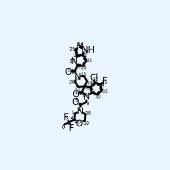 CC(F)(F)C1CN(C(=O)CN2C(=O)C3(CCN(C(=O)c4ccc5[nH]ncc5n4)CC3)c3c2ccc(F)c3Cl)CCO1